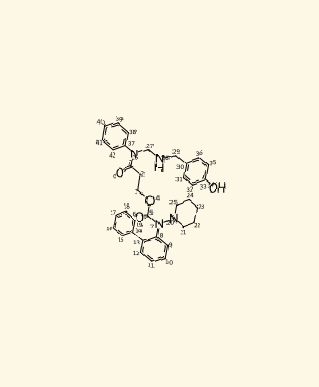 O=C(CCOC(=O)N(c1ccccc1-c1ccccc1)N1CC[CH]CC1)N(CNCc1ccc(O)cc1)c1ccccc1